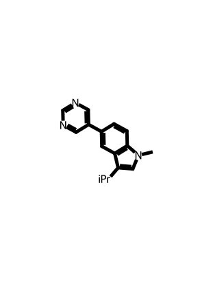 CC(C)c1cn(C)c2ccc(-c3cncnc3)cc12